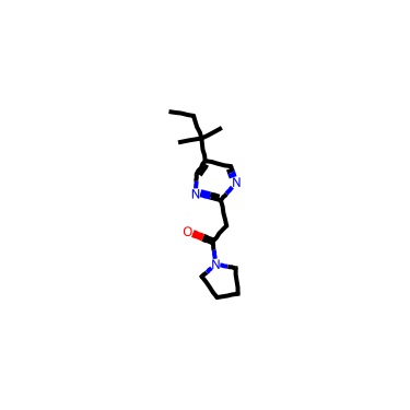 CCC(C)(C)c1cnc(CC(=O)N2CCCC2)nc1